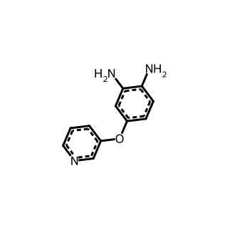 Nc1ccc(Oc2cccnc2)cc1N